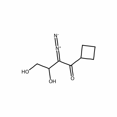 [N-]=[N+]=C(C(=O)C1CCC1)C(O)CO